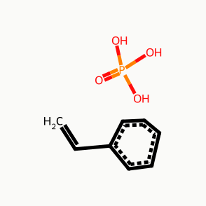 C=Cc1ccccc1.O=P(O)(O)O